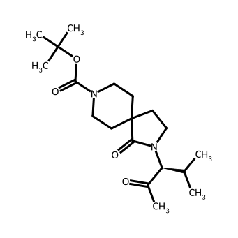 CC(=O)[C@H](C(C)C)N1CCC2(CCN(C(=O)OC(C)(C)C)CC2)C1=O